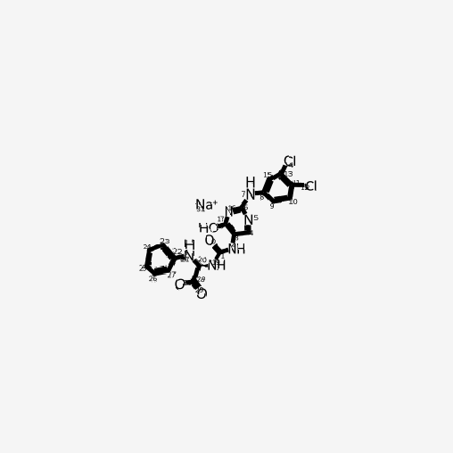 O=C(Nc1cnc(Nc2ccc(Cl)c(Cl)c2)nc1O)N[C@H](Nc1ccccc1)C(=O)[O-].[Na+]